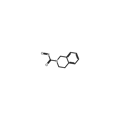 O=NC(=O)N1CCc2ccccc2C1